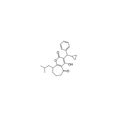 CC(C)CC1CCCC(=O)c2c1oc(=O)c(C(c1ccccc1)C1CC1)c2O